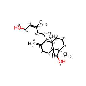 C=C1CC[C@H]2[C@](C)(CO)CCC[C@]2(C)[C@H]1CC/C(C)=C\CO